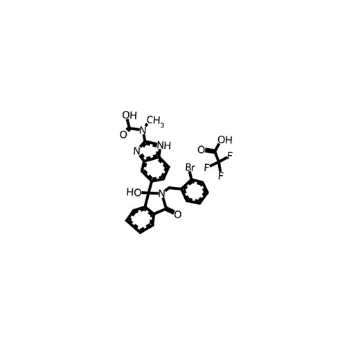 CN(C(=O)O)c1nc2cc(C3(O)c4ccccc4C(=O)N3Cc3ccccc3Br)ccc2[nH]1.O=C(O)C(F)(F)F